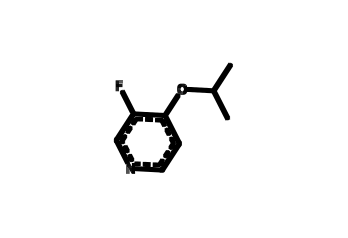 CC(C)Oc1ccncc1F